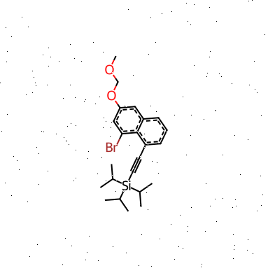 COCOc1cc(Br)c2c(C#C[Si](C(C)C)(C(C)C)C(C)C)cccc2c1